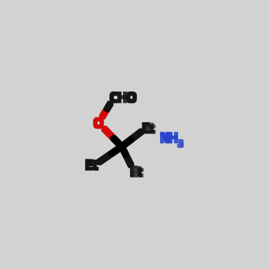 CCC(CC)(CC)OC=O.N